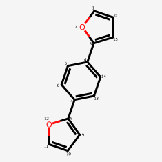 c1coc(-c2ccc(-c3ccco3)cc2)c1